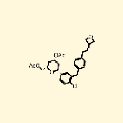 CC(=O)OC[C@@H]1C[C@H](OC(C)=O)C[C@H](c2ccc(Cl)c(Cc3ccc(CCC4COC4)cc3)c2)O1